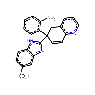 O=C(O)c1ccc2[nH]c(C3(c4ccccc4[N+](=O)[O-])C=Cc4ncccc4C3)nc2c1